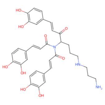 NCCCNCCCC(C(=O)/C=C/c1ccc(O)c(O)c1)N(C(=O)/C=C/c1ccc(O)c(O)c1)C(=O)/C=C/c1ccc(O)c(O)c1